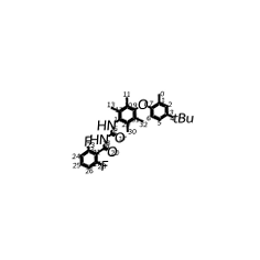 Cc1cc(C(C)(C)C)ccc1Oc1c(C)c(C)c(NC(=O)NC(=O)c2c(F)cccc2F)c(C)c1C